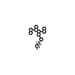 Cc1ccc2oc(-c3cccc(-c4ccc5c(c4)c(-c4cccc6ccccc46)cc4c6ccccc6c(-c6cccc7ccccc67)cc54)c3)nc2n1